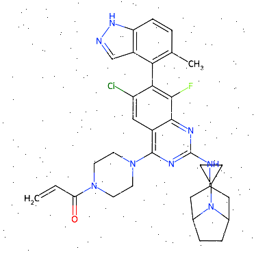 C=CC(=O)N1CCN(c2nc(NC3CC4CCC(C3)N4C3CC3)nc3c(F)c(-c4c(C)ccc5[nH]ncc45)c(Cl)cc23)CC1